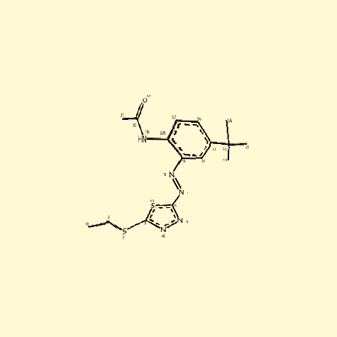 CCSc1nnc(N=Nc2cc(C(C)(C)C)ccc2NC(C)=O)s1